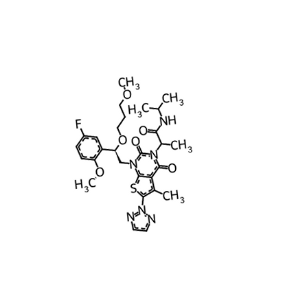 COCCCO[C@@H](Cn1c(=O)n(C(C)C(=O)NC(C)C)c(=O)c2c(C)c(-n3nccn3)sc21)c1cc(F)ccc1OC